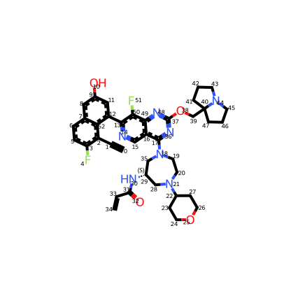 C#Cc1c(F)ccc2cc(O)cc(-c3ncc4c(N5CCN(C6CCOCC6)C[C@H](NC(=O)C=C)C5)nc(OCC56CCCN5CCC6)nc4c3F)c12